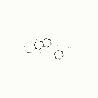 COc1ccccc1Oc1ccc2nc3c(c(N)c2c1)CCCCC3